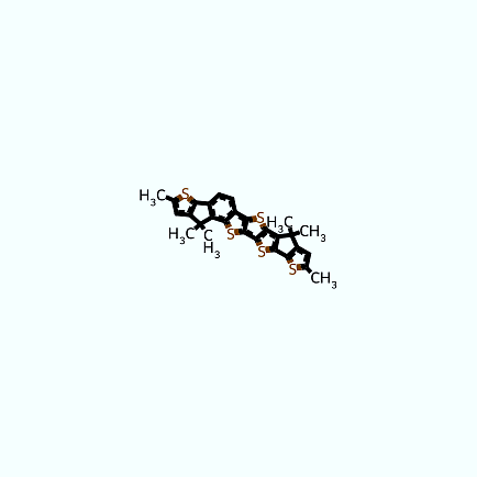 Cc1cc2c(s1)-c1ccc3c(sc4c5sc6c(c5sc34)C(C)(C)c3cc(C)sc3-6)c1C2(C)C